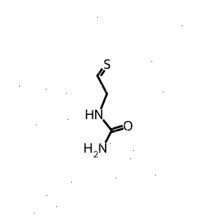 NC(=O)NCC=S